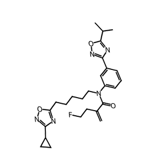 C=C(CCF)C(=O)N(CCCCCc1nc(C2CC2)no1)c1cccc(-c2noc(C(C)C)n2)c1